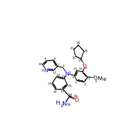 COc1ccc(N(Cc2cccnc2)c2cccc(C(N)=O)c2)cc1OC1CCCC1